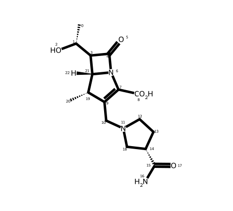 C[C@@H](O)C1C(=O)N2C(C(=O)O)=C(CN3CC[C@H](C(N)=O)C3)[C@H](C)[C@H]12